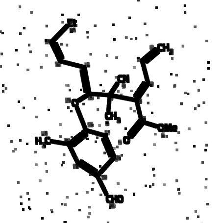 C=C/C=C(/C(=O)OC)C(C)(C#N)/C(=C/C=C\CC)Oc1ccc(C=O)cc1C